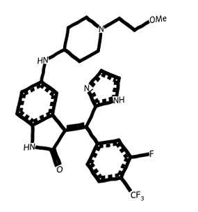 COCCN1CCC(Nc2ccc3c(c2)C(=C(c2ccc(C(F)(F)F)c(F)c2)c2ncc[nH]2)C(=O)N3)CC1